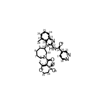 CC1=C(C(=O)N2CCCCC(n3c(NC(=O)c4ccnnc4)nc4cccc(C)c43)C2)S(=O)(=O)CCO1